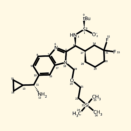 CC(C)(C)[S@@+]([O-])N[C@H](c1nc2ccc([C@H](N)C3CC3)cc2n1COCC[Si](C)(C)C)[C@@H]1CCCC(F)(F)C1